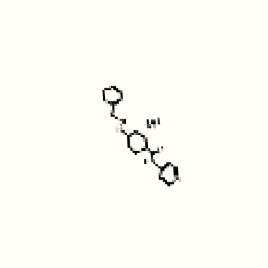 Cl.Cl.O=C(Nc1ccncc1)C1CCC(NNCc2ccccc2)CC1